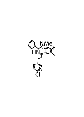 CNC(=O)C(N[C@H](CCc1ccc(Cl)nc1)c1ccc(F)c(C)c1)c1ccccc1